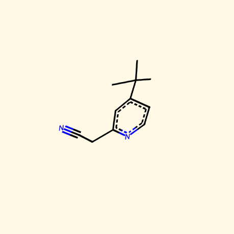 CC(C)(C)c1ccnc(CC#N)c1